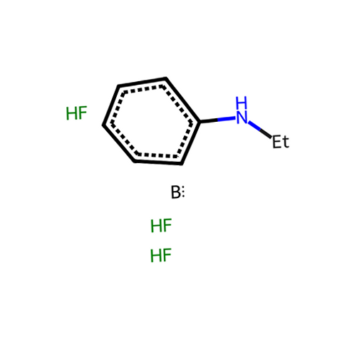 CCNc1ccccc1.F.F.F.[B]